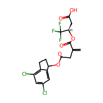 C=C(CC(=O)OC1CCc2c(Cl)cc(Cl)cc21)C(=O)O[C@H](CC(=O)O)C(F)(F)F